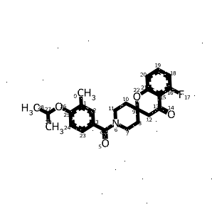 Cc1cc(C(=O)N2CCC3(CC2)CC(=O)c2c(F)cccc2O3)ccc1OC(C)C